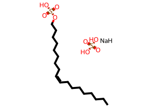 CCCCCCCC/C=C\CCCCCCCCOS(=O)(=O)O.O=S(=O)(O)O.[NaH]